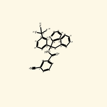 N#Cc1cccc(C(=O)NC(Cc2ccccc2)(c2cccc(C(F)(F)F)c2)c2ccccn2)c1